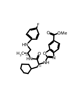 COC(=O)c1ccc2nc(N[C@@H](CC3CCCCC3)C(=O)N[C@@H](C)CNc3ccc(F)cc3)oc2c1